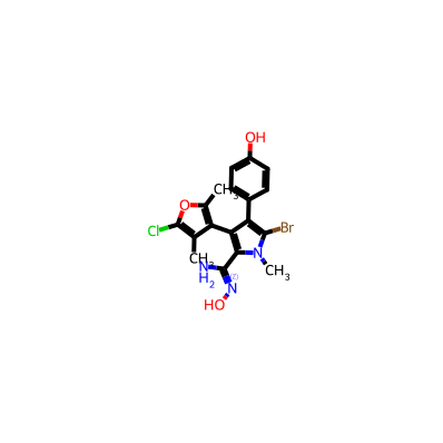 Cc1oc(Cl)c(C)c1-c1c(-c2ccc(O)cc2)c(Br)n(C)c1/C(N)=N/O